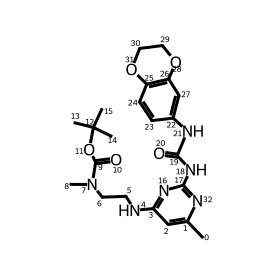 Cc1cc(NCCN(C)C(=O)OC(C)(C)C)nc(NC(=O)Nc2ccc3c(c2)OCCO3)n1